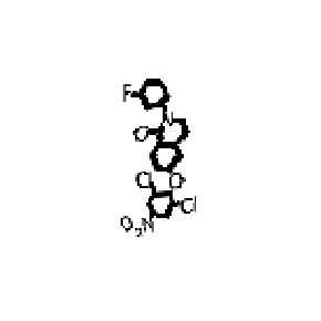 O=C1c2ccc(Oc3c(Cl)cc([N+](=O)[O-])cc3Cl)cc2CCN1c1cccc(F)c1